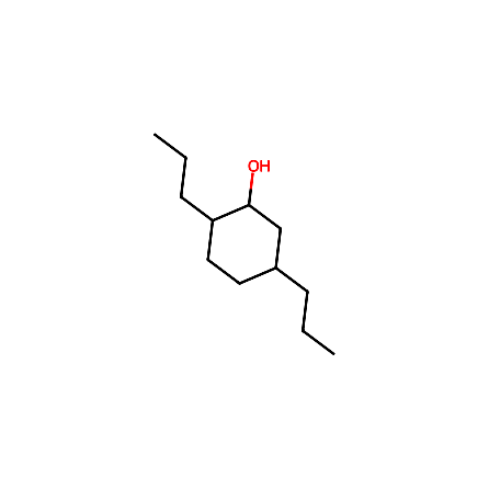 CCCC1CCC(CCC)C(O)C1